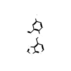 COc1ccc(OCc2ccnc3[nH]cnc23)c(C=O)c1